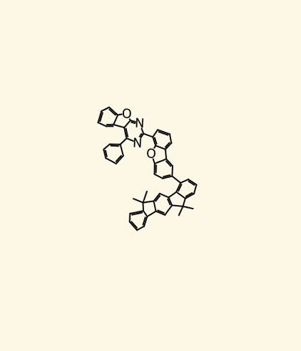 CC1(C)c2ccccc2-c2cc3c(cc21)-c1c(-c2ccc4oc5c(-c6nc(-c7ccccc7)c7c(n6)oc6ccccc67)cccc5c4c2)cccc1C3(C)C